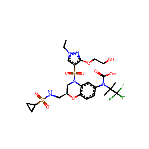 CCn1cc(S(=O)(=O)N2C[C@H](CNS(=O)(=O)C3CC3)Oc3ccc(N(C(=O)O)C(C)(C)C(F)(F)F)cc32)c(OCCO)n1